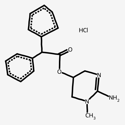 CN1CC(OC(=O)C(c2ccccc2)c2ccccc2)CN=C1N.Cl